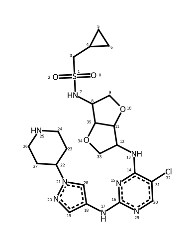 O=S(=O)(CC1CC1)NC1COC2C(Nc3nc(Nc4cnn(C5CCNCC5)c4)ncc3Cl)COC12